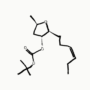 CC/C=C\CC[C@@H]1O[C@H](C)C[C@H]1OC(=O)OC(C)(C)C